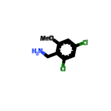 COc1cc(Cl)cc(Cl)c1CN